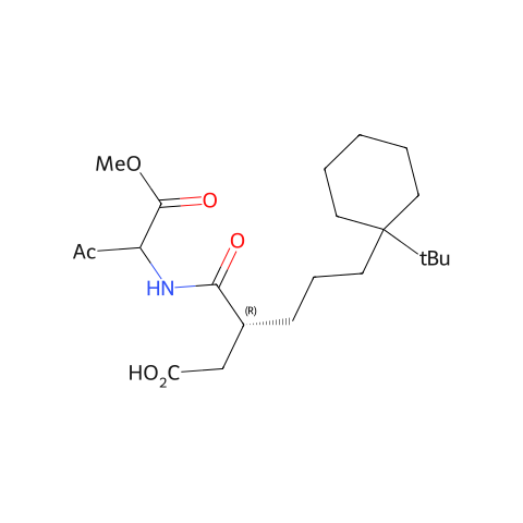 COC(=O)C(NC(=O)[C@H](CCCC1(C(C)(C)C)CCCCC1)CC(=O)O)C(C)=O